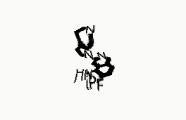 CC(C)Nc1c(F)ccc2cnc(-n3ccc4ccncc43)cc12